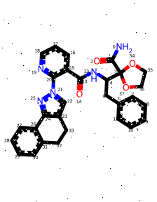 NC(=O)C1(C(Cc2ccccc2)NC(=O)c2cccnc2-n2cc3c(n2)-c2ccccc2CC3)OCCO1